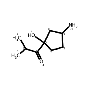 CC(C)C(=O)C1(O)CCC(N)C1